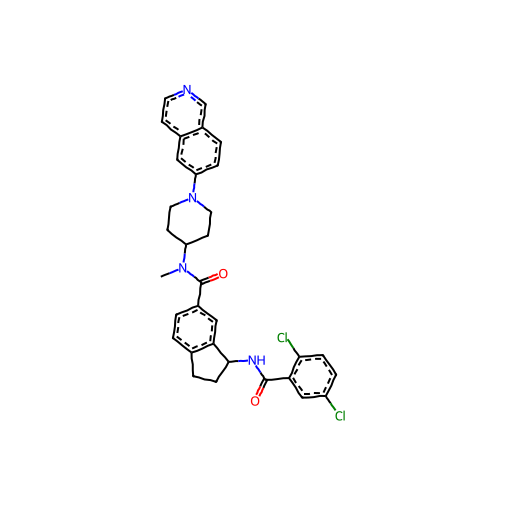 CN(C(=O)c1ccc2c(c1)C(NC(=O)c1cc(Cl)ccc1Cl)CC2)C1CCN(c2ccc3cnccc3c2)CC1